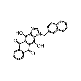 O=C1c2ccccc2C(=O)c2c1c(O)c1ncn(Cc3ccc4ccccc4c3)c1c2O